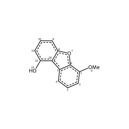 COc1cccc2c1oc1cccc(O)c12